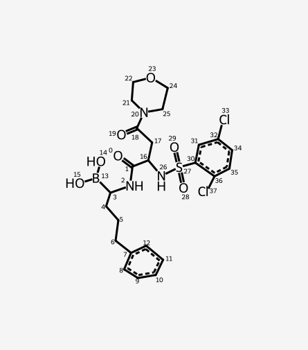 O=C(NC(CCCc1ccccc1)B(O)O)C(CC(=O)N1CCOCC1)NS(=O)(=O)c1cc(Cl)ccc1Cl